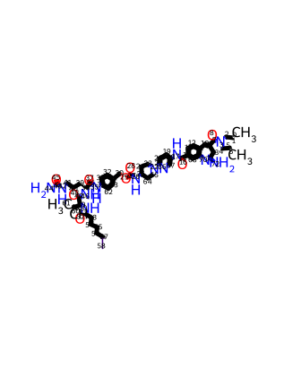 CCCN(CCC)C(=O)C1=Cc2ccc(C(=O)Nc3ccc(N4CCC(NC(=O)OCc5ccc(NC(=O)[C@H](CCCNC(N)=O)NC(=O)[C@@H](NC(=O)CCCCCI)C(C)C)cc5)CC4)nc3)cc2N=C(N)C1